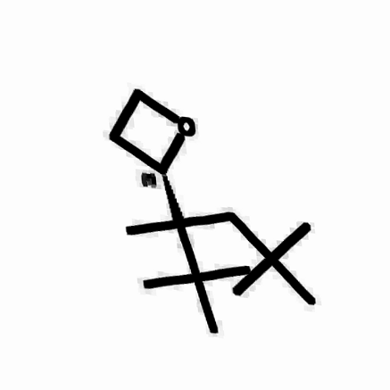 CC(C)(C)CC(C)([C@@H]1CCO1)C(C)(C)C